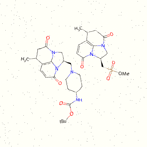 CC1CC(=O)N2C[C@@H](CN3CCC(NC(=O)OC(C)(C)C)CC3)n3c2c1ccc3=O.COS(=O)(=O)C[C@@H]1CN2C(=O)CC(C)c3ccc(=O)n1c32